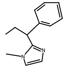 CCC(c1ccccc1)c1nccn1C